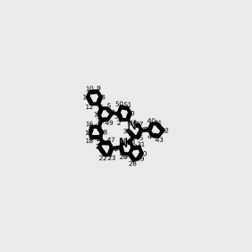 c1ccc(-c2cc(-c3ccccc3)cc(-c3cccc(-c4cccc(-c5cc6ccccc6c(-c6cncc(-c7ccccc7)c6)n5)c4)c3)c2)cc1